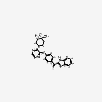 C[C@]1(O)CC[C@@H](c2nccnc2Oc2ccc(C(=O)c3nc4ccccc4[nH]3)cc2)CC1